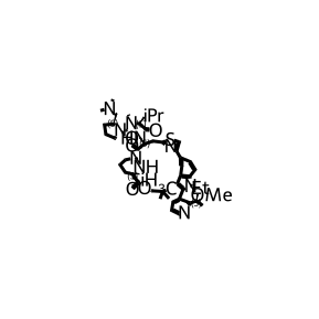 CCn1c(-c2cccnc2[C@H](C)OC)c2c3cc(ccc31)-c1csc(n1)C[C@H](NC(=O)[C@H](C(C)C)N(C)C(=O)N1CCC[C@H]1CN(C)C)C(=O)N1CCC[C@@]([SiH3])(N1)C(=O)OCC(C)(C)C2